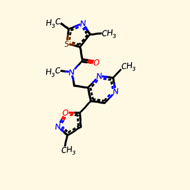 Cc1cc(-c2cnc(C)nc2CN(C)C(=O)c2sc(C)nc2C)on1